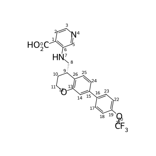 O=C(O)c1ccncc1NC[C@H]1CCOc2cc(-c3ccc(OC(F)(F)F)cc3)ccc21